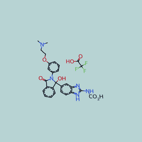 CN(C)CCOc1cccc(N2C(=O)c3ccccc3C2(O)c2ccc3[nH]c(NC(=O)O)nc3c2)c1.O=C(O)C(F)(F)F